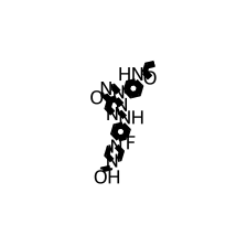 C=CC(=O)Nc1cccc(-n2cnc(=O)c3cnc(Nc4ccc(N5CCN(CCO)CC5)c(F)c4)nc32)c1